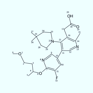 COCCC(C)Oc1ncc(-c2cnc(C)c(CC(=O)O)c2N2CCC(C)(C)CC2)cc1F